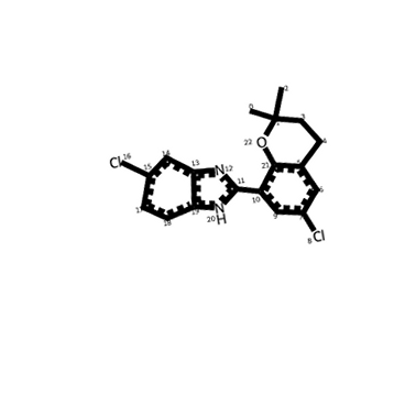 CC1(C)CCc2cc(Cl)cc(-c3nc4cc(Cl)ccc4[nH]3)c2O1